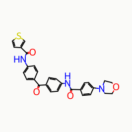 O=C(Nc1ccc(C(=O)c2ccc(NC(=O)c3ccsc3)cc2)cc1)c1ccc(N2CCOCC2)cc1